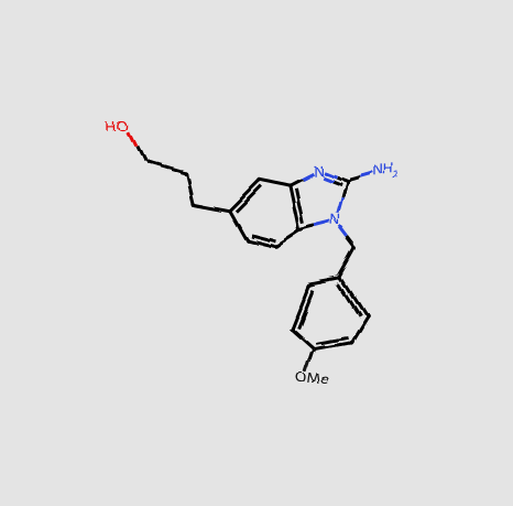 COc1ccc(Cn2c(N)nc3cc(CCCO)ccc32)cc1